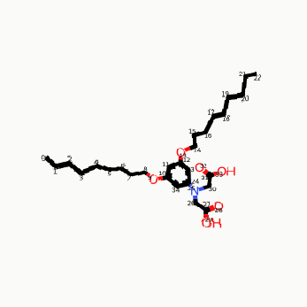 CCCCCCCCCOc1cc(OCCCCCCCCC)cc(N(CC(=O)O)CC(=O)O)c1